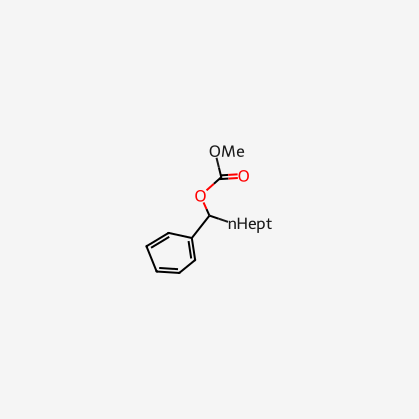 CCCCCCCC(OC(=O)OC)c1ccccc1